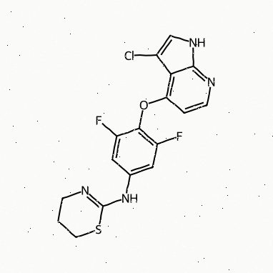 Fc1cc(NC2=NCCCS2)cc(F)c1Oc1ccnc2[nH]cc(Cl)c12